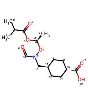 CC(C)C(=O)O[C@@H](C)ON(C=O)C[C@H]1CC[C@H](C(=O)O)CC1